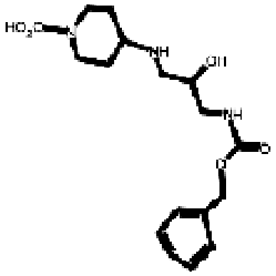 O=C(NCC(O)CNC1CCN(C(=O)O)CC1)OCc1ccccc1